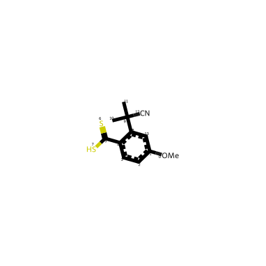 COc1ccc(C(=S)S)c(C(C)(C)C#N)c1